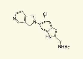 CC(=O)NCc1cc2cc(Cl)c(N3Cc4ccncc4C3)cc2[nH]1